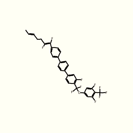 C/C=C/CC/C(F)=C(\F)c1ccc(-c2ccc(-c3ccc(C(F)(F)Oc4cc(F)c(C(F)(F)F)c(F)c4)c(F)c3)cc2)cc1